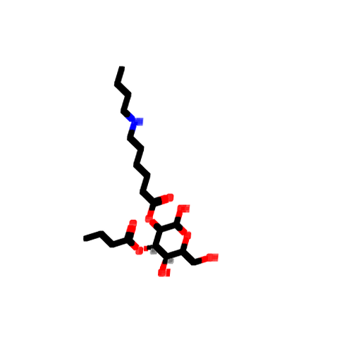 CCCCNCCCCCC(=O)OC1C(O)OC(CO)[C@@H](O)[C@@H]1OC(=O)CCC